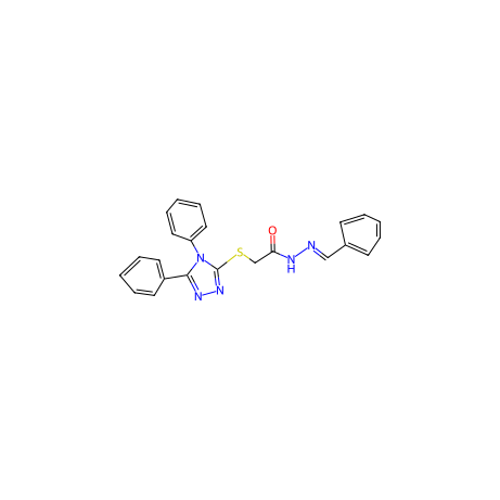 O=C(CSc1nnc(-c2ccccc2)n1-c1ccccc1)N/N=C/c1ccccc1